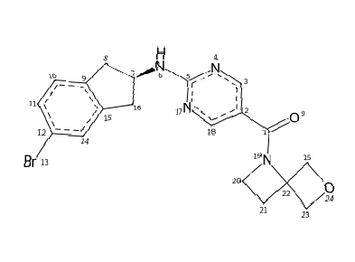 O=C(c1cnc(N[C@@H]2Cc3ccc(Br)cc3C2)nc1)N1CCC12COC2